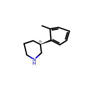 Cc1ccccc1[C@@H]1CCCNC1